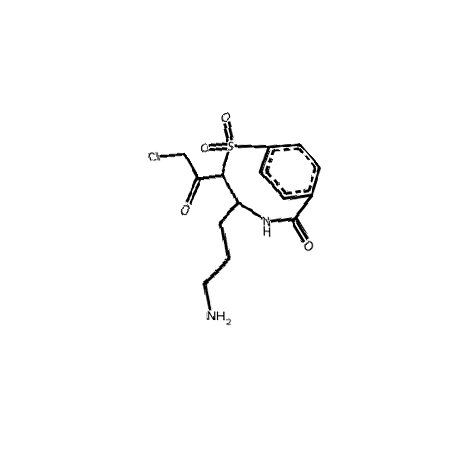 NCCCC1NC(=O)c2ccc(cc2)S(=O)(=O)C1C(=O)CCl